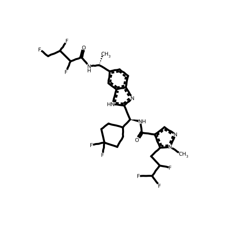 C[C@@H](NC(=O)C(F)C(F)CF)c1ccc2nc([C@@H](NC(=O)c3cnn(C)c3CC(F)C(F)F)C3CCC(F)(F)CC3)[nH]c2c1